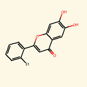 CCc1ccccc1-c1cc(=O)c2cc(O)c(O)cc2o1